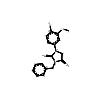 COc1cc(N2CC(=O)N(Cc3ccccc3)C2=O)ccc1Br